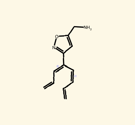 C=C/C=C\C(=C/C=C)c1cc(CN)on1